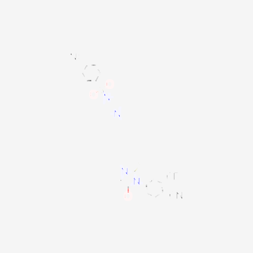 CC1(C)C(=O)N(c2ccc(C#N)c(C(F)(F)F)c2)C(=S)N1CCCCCCN1CCN(S(=O)(=O)c2ccc(C#N)cc2)CC1